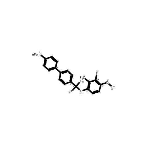 CCCCCc1ccc(-c2ccc(C(F)(F)Oc3ccc(OCC)c(F)c3C(F)(F)F)cc2)cc1